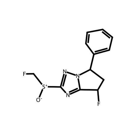 [O-][S+](CF)c1nc2n(n1)C(c1ccccc1)CC2F